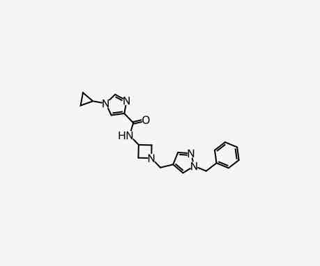 O=C(NC1CN(Cc2cnn(Cc3ccccc3)c2)C1)c1cn(C2CC2)cn1